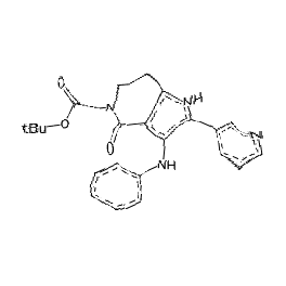 CC(C)(C)OC(=O)N1CCc2[nH]c(-c3cccnc3)c(Nc3ccccc3)c2C1=O